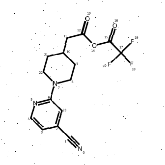 N#Cc1ccnc(N2CCC(CC(=O)OC(=O)C(F)(F)F)CC2)c1